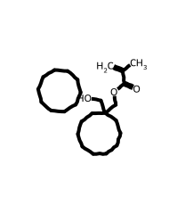 C1CCCCCCCCC1.C=C(C)C(=O)OCC1(CO)CCCCCCCCC1